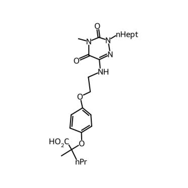 CCCCCCCn1nc(NCCOc2ccc(OC(C)(CCC)C(=O)O)cc2)c(=O)n(C)c1=O